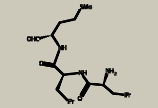 CSCC[C@@H](C=O)NC(=O)[C@H](CC(C)C)NC(=O)[C@@H](N)CC(C)C